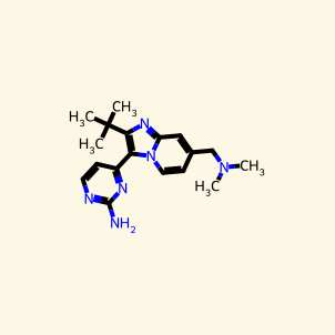 CN(C)Cc1ccn2c(-c3ccnc(N)n3)c(C(C)(C)C)nc2c1